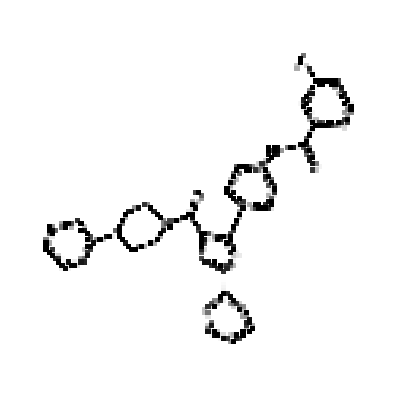 Cc1cccc(C(=O)Nc2ccc(-c3oc(-c4ccccc4)nc3C(=O)N3CCN(c4ccccc4)CC3)cc2)c1